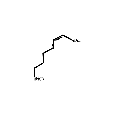 CCCC[CH]CCCCCCCC/C=C\CCCCCCCC